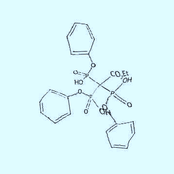 CCOC(=O)C(P(=O)(O)Oc1ccccc1)(P(=O)(O)Oc1ccccc1)P(=O)(O)Oc1ccccc1